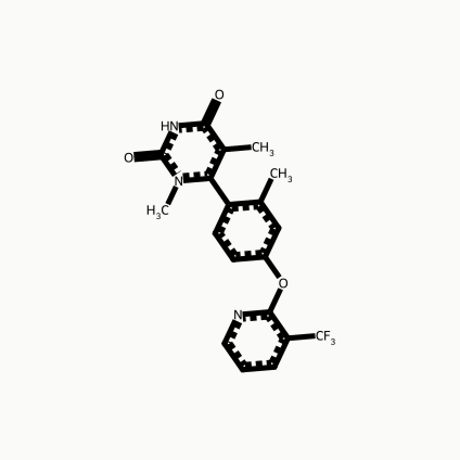 Cc1cc(Oc2ncccc2C(F)(F)F)ccc1-c1c(C)c(=O)[nH]c(=O)n1C